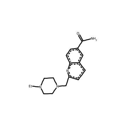 CCN1CCN(Cc2ccc3cc(C(N)=O)ccc3n2)CC1